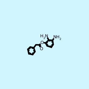 Nc1cccc(OC(=O)Cc2ccccc2)c1N